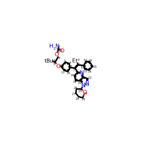 CCC(=C(c1ccc(OC(COC(N)=O)C(C)(C)C)cc1)c1ccc2c(cnn2C2CCCCO2)n1)c1ccccc1